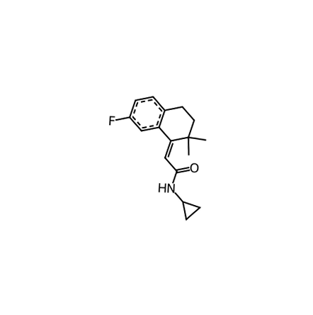 CC1(C)CCc2ccc(F)cc2/C1=C/C(=O)NC1CC1